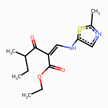 CCOC(=O)C(=CNc1cnc(C)s1)C(=O)C(C)CC